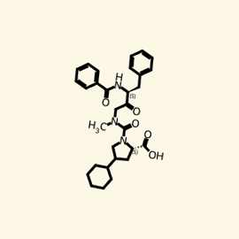 CN(CC(=O)[C@H](Cc1ccccc1)NC(=O)c1ccccc1)C(=O)N1CC(C2CCCCC2)C[C@H]1C(=O)O